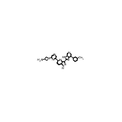 Cc1cccc(-c2cncc3[nH]c(-c4n[nH]c5ccc(-c6cncc(N7CC(N)C7)n6)nc45)nc23)c1